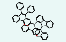 c1ccc(-c2ccccc2N(c2ccc3c(c2)c(-c2ccccc2)c(-c2ccccc2)c2ccccc23)c2cccc3c4ccccc4n(-c4cccc5ccccc45)c23)cc1